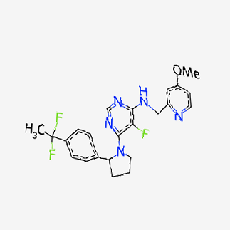 COc1ccnc(CNc2ncnc(N3CCCC3c3ccc(C(C)(F)F)cc3)c2F)c1